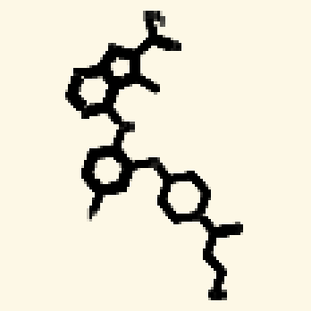 Cc1c(C(N)=O)sc2ncnc(Nc3ccc(F)cc3OC3CCN(C(=O)CCO)CC3)c12